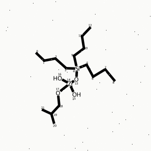 CCCC[Si](CCCC)(CCCC)[O][Zr]([OH])([OH])[O]CC(C)C